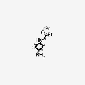 CCCOC(CC)CNc1ccc(N)cc1